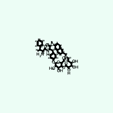 COc1ccc2cc(COCC3OC(OC4C(CO)OC(Oc5ccc(CC([C]=O)NC(=O)C(N)C(C)c6ccccc6)cc5)C(O)C4O)C(O)C(O)C3O)ccc2c1